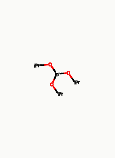 CC(C)[O][In-]([O]C(C)C)[O]C(C)C